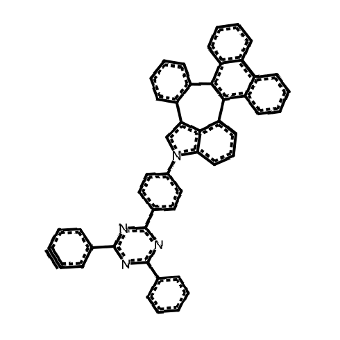 c1ccc(-c2nc(-c3ccccc3)nc(-c3ccc(-n4cc5c6c(cccc64)-c4c(c6ccccc6c6ccccc46)-c4ccccc4-5)cc3)n2)cc#1